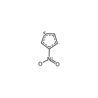 O=[N+]([O-])c1[c]csc1